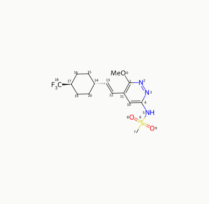 COc1nnc(NS(C)(=O)=O)cc1/C=C/[C@H]1CC[C@H](C(F)(F)F)CC1